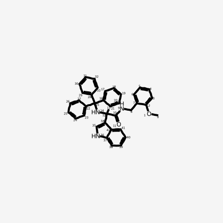 COc1ccccc1CNC(=O)C(C)(NC(c1ccccc1)(c1ccccc1)c1ccccc1)c1c[nH]c2ccccc12